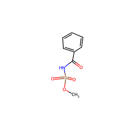 COS(=O)(=O)NC(=O)c1ccccc1